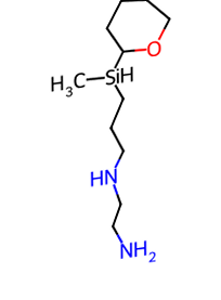 C[SiH](CCCNCCN)C1CCCCO1